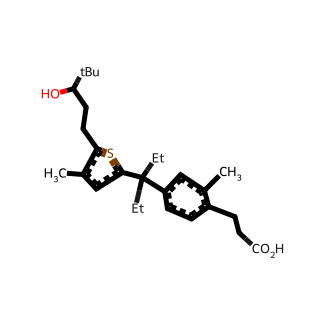 CCC(CC)(c1ccc(CCC(=O)O)c(C)c1)c1cc(C)c(CCC(O)C(C)(C)C)s1